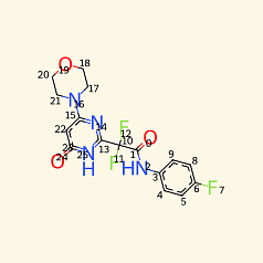 O=C(Nc1ccc(F)cc1)C(F)(F)c1nc(N2CCOCC2)cc(=O)[nH]1